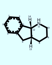 c1ccc2c(c1)C[C@H]1CCCN[C@@H]21